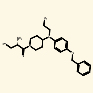 CC(C)CCN(c1ccc(OCc2ccccc2)cc1)C1CCN(C(=O)[C@@H](N)CC(C)C)CC1